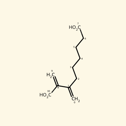 C=C(CCCCCC(=O)O)C(=C)C(=O)O